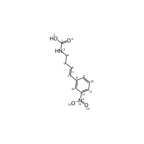 O=C(O)NCC/C=C/c1cccc([N+](=O)[O-])c1